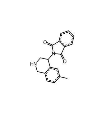 Cc1ccc2c(c1)C(N1C(=O)c3ccccc3C1=O)CNC2